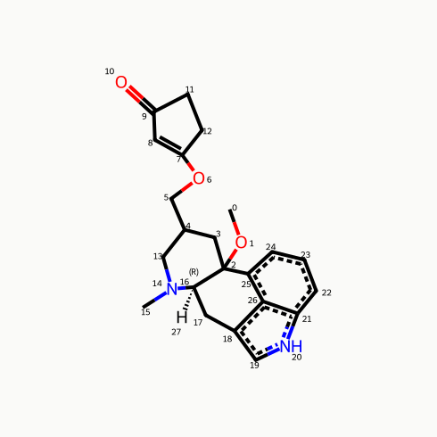 COC12CC(COC3=CC(=O)CC3)CN(C)[C@@H]1Cc1c[nH]c3cccc2c13